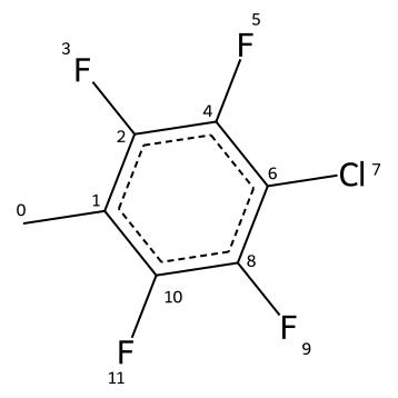 Cc1c(F)c(F)c(Cl)c(F)c1F